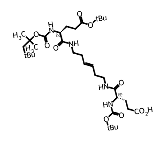 CC(C)(C)CC(C)(C)OC(=O)N[C@@H](CCC(=O)OC(C)(C)C)C(=O)NCCC=CCCNC(=O)[C@H](CCC(=O)O)NC(=O)OC(C)(C)C